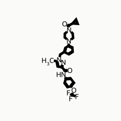 Cc1cc(C(=O)Nc2ccc(OC(F)(F)F)cc2)nn1Cc1cccc(N2CCN(C(=O)C3CC3)CC2)c1